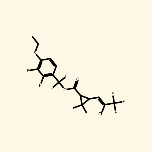 CCSc1ccc(C(F)(F)OC(=O)C2C(C=C(Cl)C(F)(F)F)C2(C)C)c(F)c1F